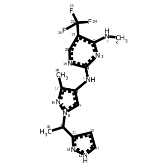 CNc1nc(Nc2cn(C(C)c3cc[nH]n3)nc2C)ncc1C(F)(F)F